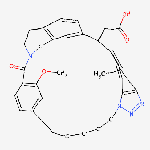 COc1cc2ccc1C(=O)N1CCc3ccc(cc3C1)C(CC(=O)O)c1ccc3c(nnn3CCCCC2)c1C